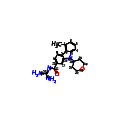 Cc1cccc2c1c1ccc(C(=O)N=C(N)N)cc1n2C1CCOCC1